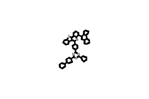 c1ccc(-c2ccc(-c3nc(-c4ccccc4)nc(-c4ccc(-c5nc6c(-c7cc8ccccc8c8ccccc78)cccc6c6sc7ccccc7c56)cc4)n3)cc2)cc1